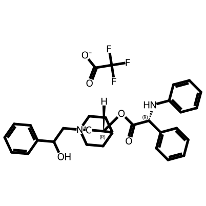 O=C(O[C@H]1C[N+]2(CC(O)c3ccccc3)CCC1CC2)[C@H](Nc1ccccc1)c1ccccc1.O=C([O-])C(F)(F)F